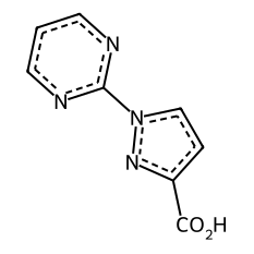 O=C(O)c1ccn(-c2ncccn2)n1